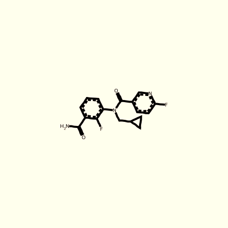 NC(=O)c1cccc(N(CC2CC2)C(=O)c2ccc(F)nc2)c1F